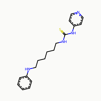 S=C(NCCCCCCNc1ccccc1)Nc1ccncc1